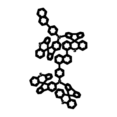 c1ccc2c(c1)Sc1ccccc1C21c2ccccc2-c2ccc(N(c3ccc(-c4cccc5c(-c6cccc7c6Sc6ccccc6C76c7ccccc7-c7ccc(N(c8ccc(-c9ccc%10ccccc%10c9)cc8)c8ccc9c(c8)C8(c%10ccccc%10Sc%10ccccc%108)c8ccccc8-9)cc76)cccc45)cc3)c3ccc4c(c3)C3(c5ccccc5Sc5ccccc53)c3ccccc3-4)cc21